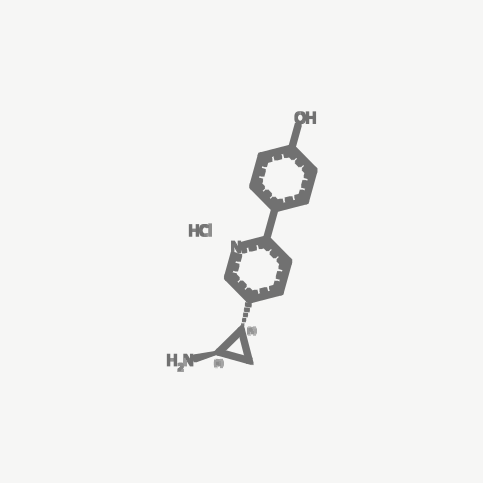 Cl.N[C@@H]1C[C@H]1c1ccc(-c2ccc(O)cc2)nc1